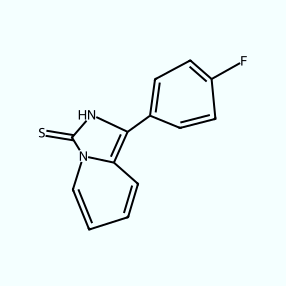 Fc1ccc(-c2[nH]c(=S)n3ccccc23)cc1